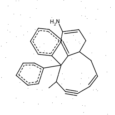 CC1C#C/C=C\CC2CC=C(N)C=C2C1(c1ccccc1)c1ccccc1